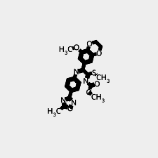 COC(=O)/N=C(SC)/C(=N\c1ccc(-c2noc(C)n2)cc1)c1cc(OC)c2c(c1)OCCO2